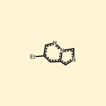 CCc1cnn2cncc2c1